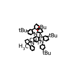 CC(C)(C)c1ccc(N2c3ccc(C(C)(C)C)cc3B3c4ccc(C(C)(C)C)cc4N(c4ccc(C(C)(C)C)cc4-c4ccccc4)c4cc(N5c6ccccc6C6(C)CCCC56C)cc2c43)cc1